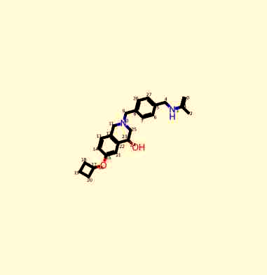 C=C(C)NCc1ccc(CN2Cc3ccc(OC4CCC4)cc3C(O)C2)cc1